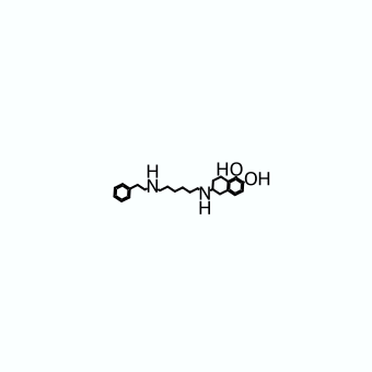 Oc1ccc2c(c1O)CCC(NCCCCCCNCCc1ccccc1)C2